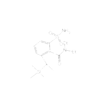 CCN(CC)C(=O)c1c(C(C)[Si](C)(C)C)cccc1S(N)(=O)=O